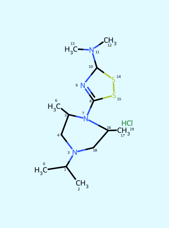 CC(C)N1CC(C)N(C2=NC(N(C)C)SS2)C(C)C1.Cl